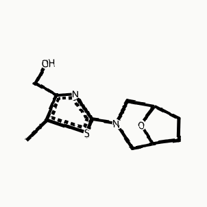 Cc1sc(N2CC3CCC(C2)O3)nc1CO